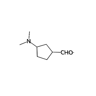 CN(C)C1CCC([C]=O)C1